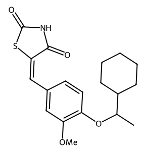 COc1cc(C=C2SC(=O)NC2=O)ccc1OC(C)C1CCCCC1